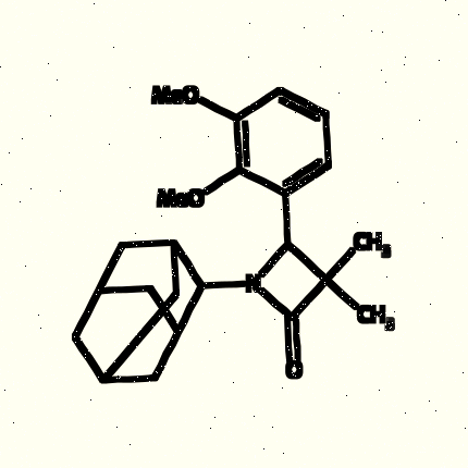 COc1cccc(C2N(C3C4CC5CC(C4)CC3C5)C(=O)C2(C)C)c1OC